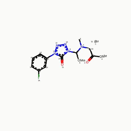 CC[C@H](C)[C@@H](C(=O)OC)N(C)C(OC)n1nnn(-c2cccc(F)c2)c1=O